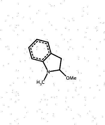 COC1Cc2ccccc2N1C